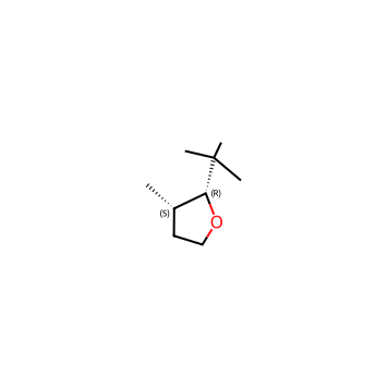 C[C@H]1CCO[C@H]1C(C)(C)C